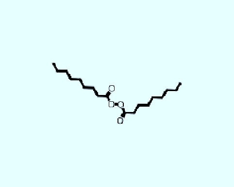 CCCCCCCCC(=O)OOC(=O)CCCCCCCC